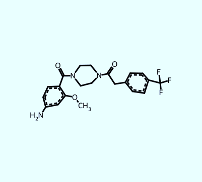 COc1cc(N)ccc1C(=O)N1CCN(C(=O)Cc2ccc(C(F)(F)F)cc2)CC1